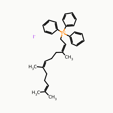 CC(C)=CCCC(C)=CCCC(C)=CC[P+](c1ccccc1)(c1ccccc1)c1ccccc1.[I-]